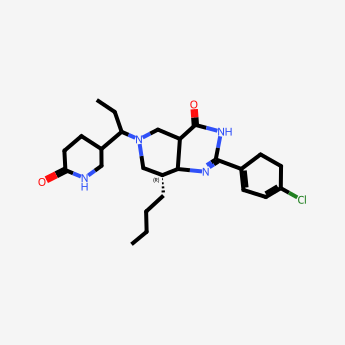 CCCC[C@@H]1CN(C(CC)C2CCC(=O)NC2)CC2C(=O)NC(C3=CC=C(Cl)CC3)=NC21